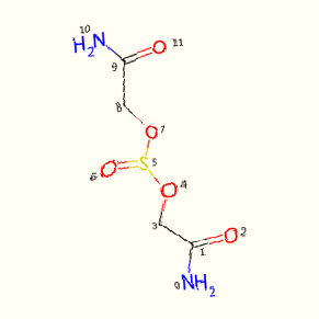 NC(=O)COS(=O)OCC(N)=O